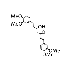 COc1ccc(/C=C/C(=O)CC(O)/C=C/c2ccc(OC)c(OC)c2)cc1OC